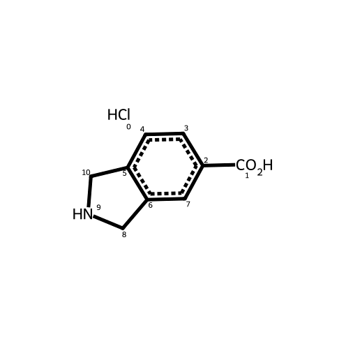 Cl.O=C(O)c1ccc2c(c1)CNC2